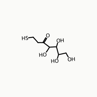 O=C(CCS)C(O)C(O)C(O)CO